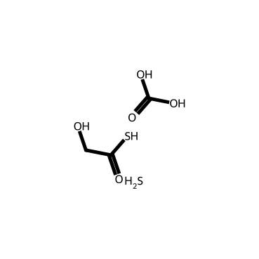 O=C(O)O.O=C(S)CO.S